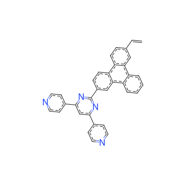 C=Cc1ccc2c3ccc(-c4nc(-c5ccncc5)cc(-c5ccncc5)n4)cc3c3ccccc3c2c1